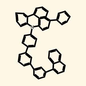 c1ccc(-c2ccc(N(c3ccc(-c4cccc(-c5cccc(-c6cccc7ccccc67)c5)c4)cc3)c3ccccc3-c3ccccc3)cc2)cc1